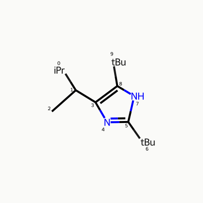 CC(C)C(C)c1nc(C(C)(C)C)[nH]c1C(C)(C)C